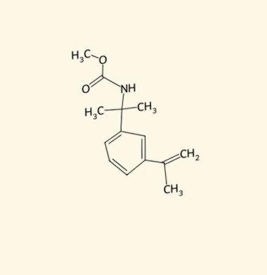 C=C(C)c1cccc(C(C)(C)NC(=O)OC)c1